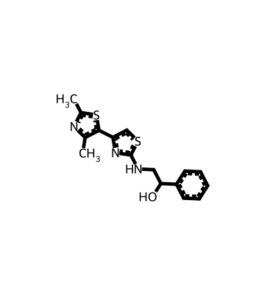 Cc1nc(C)c(-c2csc(NCC(O)c3ccccc3)n2)s1